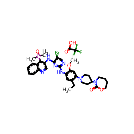 CCc1cc(Nc2ncc(Br)c(Nc3cnc4ccccc4c3P(C)(C)=O)n2)c(OC)cc1N1CCC(N2CCCCOC2=O)CC1.O=C(O)C(F)(F)F